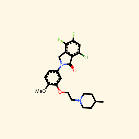 COc1ccc(N2Cc3c(F)c(F)cc(Cl)c3C2=O)cc1OCCN1CCC(C)CC1